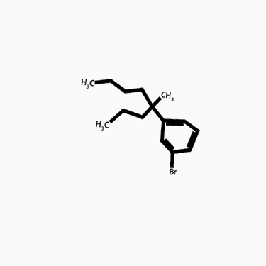 CCCCC(C)(CCC)c1cccc(Br)c1